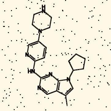 Cc1cn(C2CCCC2)c2nc(Nc3ccc(N4CCNCC4)cn3)ncc12